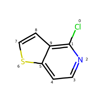 Clc1nccc2s[c]cc12